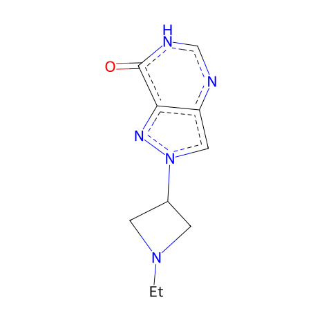 CCN1CC(n2cc3nc[nH]c(=O)c3n2)C1